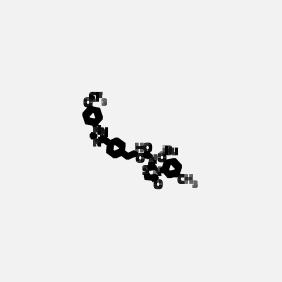 CCC(C)Oc1ccc(C)cc1N1C(=O)CS/C1=N\C(O)OCCc1ccc(-c2ncn(-c3ccc(OC(F)(F)F)cc3)n2)cc1